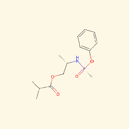 CC(C)C(=O)OC[C@H](C)N[P@](C)(=O)Oc1ccccc1